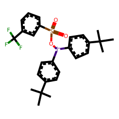 CC(C)(C)c1ccc([I+](OS(=O)(=O)c2cccc(C(F)(F)F)c2)c2ccc(C(C)(C)C)cc2)cc1